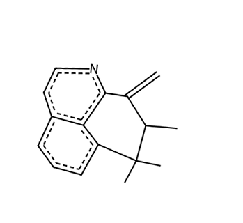 C=C1c2nccc3cccc(c23)C(C)(C)C1C